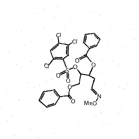 CON=CCC(OC(=O)c1ccccc1)C(COC(=O)c1ccccc1)OS(=O)(=O)c1cc(Cl)c(Cl)cc1Cl